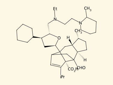 CCN(CCN1CCCCC1C)C[C@@H]1O[C@@H](C23C[C@@H]4[C@H](C)CC[C@H]4C4(C=O)CC2C=C(C(C)C)[C@]43C(=O)O)C[C@H]1C1CCCCC1